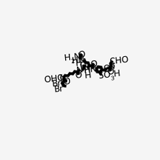 C/C(Br)=C(/Br)C(=O)N(C=O)CCCCCC(=O)NCC(=O)NC(CCCNC(N)=O)C(=O)Nc1ccc(COC(=O)N(C)CC=O)c(S(=O)(=O)O)c1